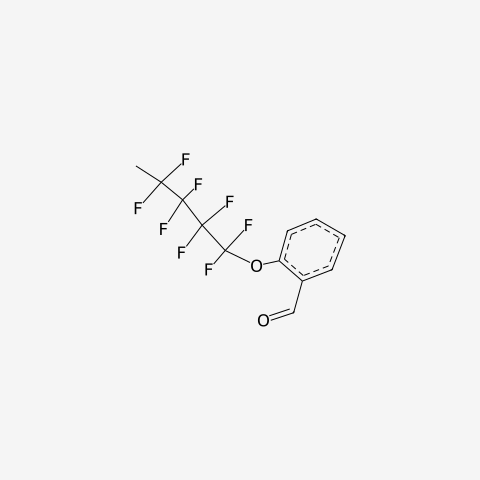 CC(F)(F)C(F)(F)C(F)(F)C(F)(F)Oc1ccccc1C=O